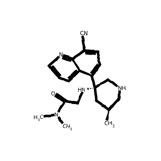 C[C@@H]1CNC[C@](NCC(=O)N(C)C)(c2ccc(C#N)c3ncccc23)C1